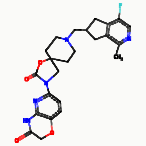 Cc1ncc(F)c2c1CC(CN1CCC3(CC1)CN(c1ccc4c(n1)NC(=O)CO4)C(=O)O3)C2